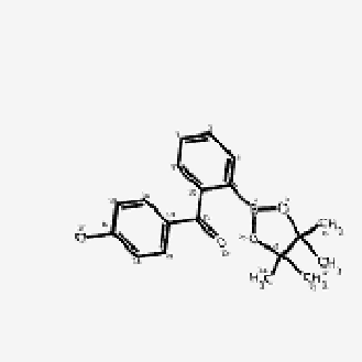 CC1(C)OB(c2ccccc2C(=O)c2ccc(Cl)cc2)OC1(C)C